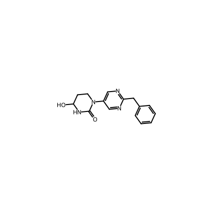 O=C1NC(O)CCN1c1cnc(Cc2ccccc2)nc1